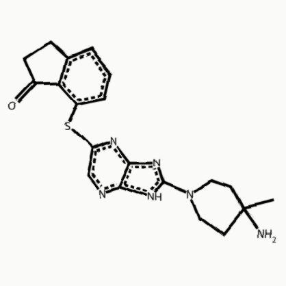 CC1(N)CCN(c2nc3nc(Sc4cccc5c4C(=O)CC5)cnc3[nH]2)CC1